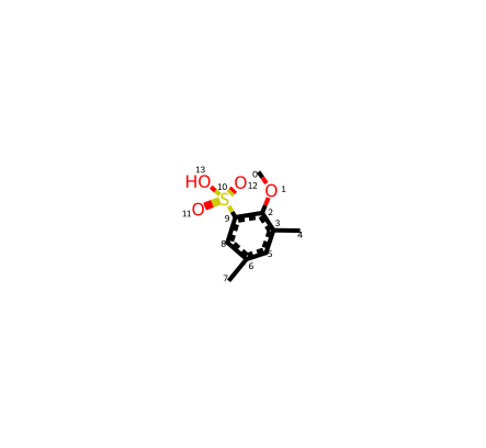 COc1c(C)cc(C)cc1S(=O)(=O)O